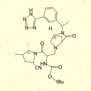 CC1CC(C#N)N(C(=O)C(CN2C[C@@H]3CC2C(=O)N3C(C)c2cccc(-c3nnn[nH]3)c2)NC(=O)OC(C)(C)C)[C@H]1C